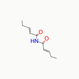 CCC=CC(=O)NC(=O)C=CCC